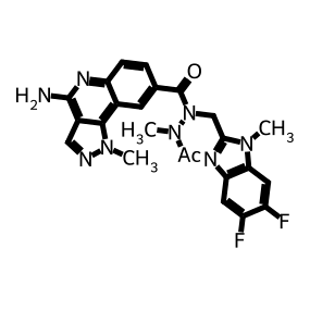 CC(=O)N(C)N(Cc1nc2cc(F)c(F)cc2n1C)C(=O)c1ccc2nc(N)c3cnn(C)c3c2c1